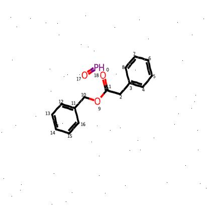 O=C(Cc1ccccc1)OCc1ccccc1.O=P